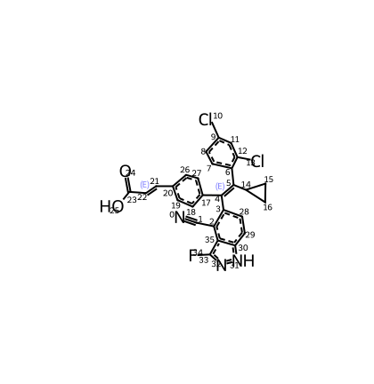 N#Cc1c(/C(=C(/c2ccc(Cl)cc2Cl)C2CC2)c2ccc(/C=C/C(=O)O)cc2)ccc2[nH]nc(F)c12